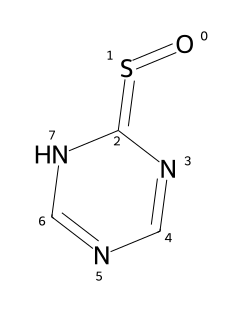 O=S=c1ncnc[nH]1